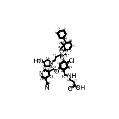 CC1(C)C(c2ccccc2)=CC=C[C@@]1(COc1cc(OCc2cncc(C#N)c2)c(CNCCC(=O)O)cc1Cl)OCCCN1CCC(O)C1